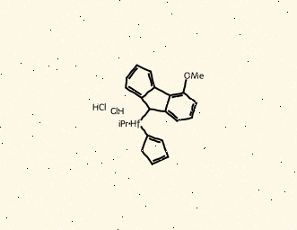 COc1cccc2c1-c1ccccc1[CH]2[Hf]([C]1=CC=CC1)[CH](C)C.Cl.Cl